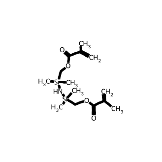 C=C(C)C(=O)OC[Si](C)(C)N[Si](C)(C)COC(=O)C(=C)C